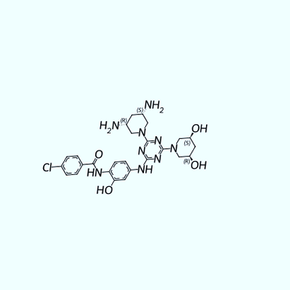 N[C@@H]1C[C@H](N)CN(c2nc(Nc3ccc(NC(=O)c4ccc(Cl)cc4)c(O)c3)nc(N3C[C@H](O)C[C@H](O)C3)n2)C1